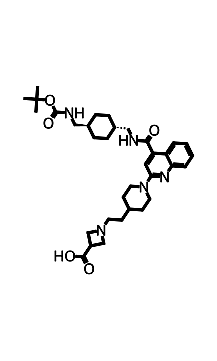 CC(C)(C)OC(=O)NC[C@H]1CC[C@H](CNC(=O)c2cc(N3CCC(CCN4CC(C(=O)O)C4)CC3)nc3ccccc23)CC1